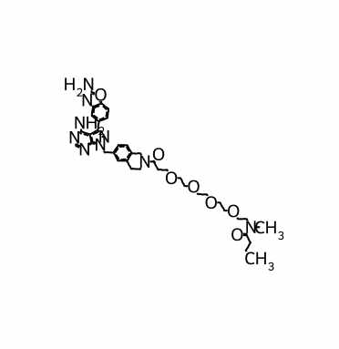 CCCC(=O)N(C)CCOCCOCCOCCOCCC(=O)N1CCc2cc(Cn3nc(-c4ccc5oc(N)nc5c4)c4c(N)ncnc43)ccc2C1